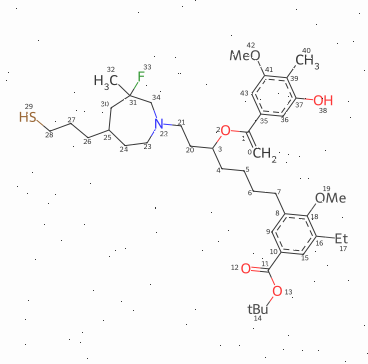 C=C(OC(CCCCc1cc(C(=O)OC(C)(C)C)cc(CC)c1OC)CCN1CCC(CCCS)CC(C)(F)C1)c1cc(O)c(C)c(OC)c1